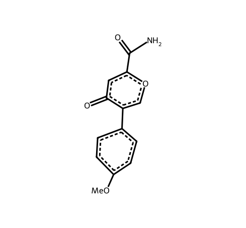 COc1ccc(-c2coc(C(N)=O)cc2=O)cc1